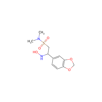 CN(C)S(=O)(=O)CC(NO)c1ccc2c(c1)OCO2